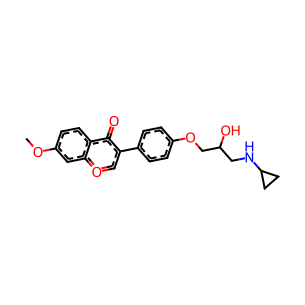 COc1ccc2c(=O)c(-c3ccc(OCC(O)CNC4CC4)cc3)coc2c1